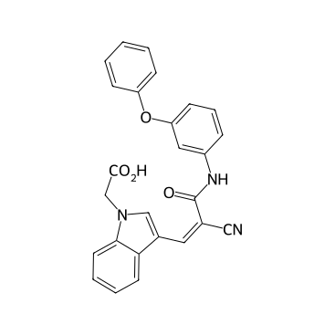 N#CC(=Cc1cn(CC(=O)O)c2ccccc12)C(=O)Nc1cccc(Oc2ccccc2)c1